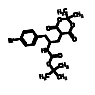 CC(C)(C)OC(=O)NC(Cc1ccc(Br)cc1)CC1C(=O)OC(C)(C)OC1=O